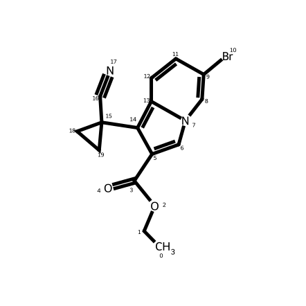 CCOC(=O)c1cn2cc(Br)ccc2c1C1(C#N)CC1